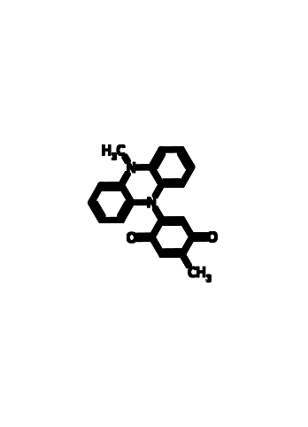 CC1=CC(=O)C(N2c3ccccc3N(C)c3ccccc32)=CC1=O